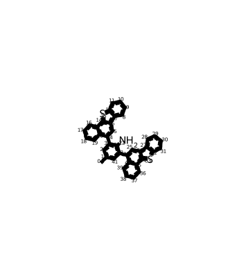 Cc1cc(-c2cc3c4ccccc4sc3c3ccccc23)c(N)c(-c2cc3c4ccccc4sc3c3ccccc23)c1